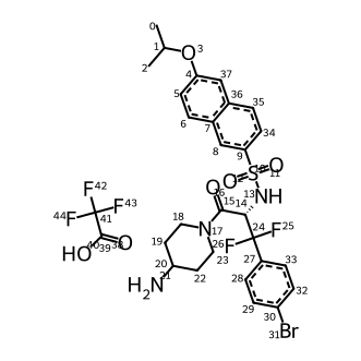 CC(C)Oc1ccc2cc(S(=O)(=O)N[C@@H](C(=O)N3CCC(N)CC3)C(F)(F)c3ccc(Br)cc3)ccc2c1.O=C(O)C(F)(F)F